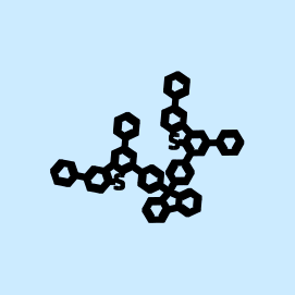 c1ccc(-c2ccc3sc4c(-c5ccc(C6(c7ccc(-c8cc(-c9ccccc9)cc9c8sc8ccc(-c%10ccccc%10)cc89)cc7)c7ccccc7-c7ccccc76)cc5)cc(-c5ccccc5)cc4c3c2)cc1